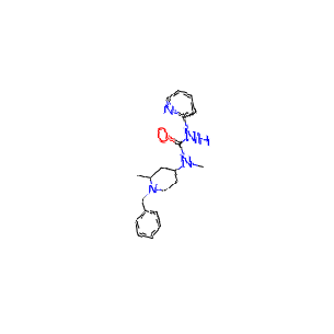 CC1CC(N(C)C(=O)Nc2ccccn2)CCN1Cc1ccccc1